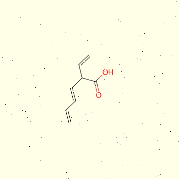 C=CC=CC(C=C)C(=O)O